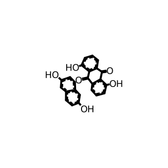 O=C1c2cccc(O)c2C(=O)c2cccc(O)c21.Oc1ccc2cc(O)ccc2c1